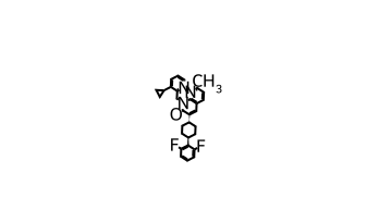 Cc1ccc2cc([C@H]3CC[C@H](c4c(F)cccc4F)CC3)c(=O)n(Cc3ncccc3C3CC3)c2n1